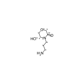 Cl.NCCCN1CCOCC1=O